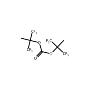 CC(OC(=O)OC(C)(C(F)(F)F)C(F)(F)F)(C(F)(F)F)C(F)(F)F